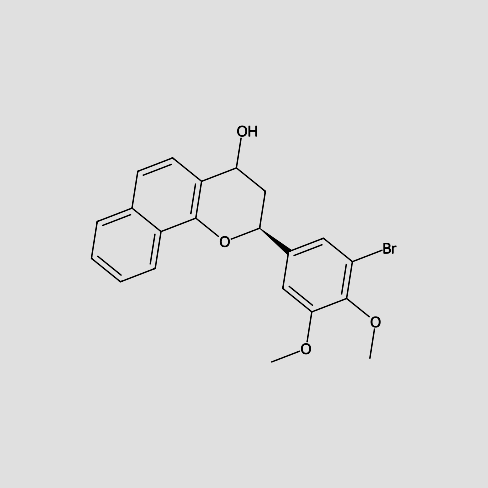 COc1cc([C@@H]2CC(O)c3ccc4ccccc4c3O2)cc(Br)c1OC